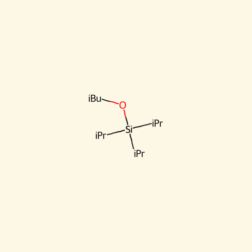 CCC(C)O[Si](C(C)C)(C(C)C)C(C)C